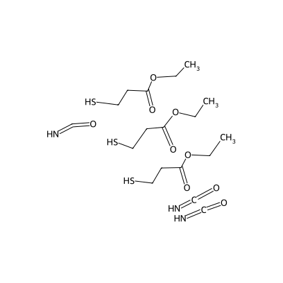 CCOC(=O)CCS.CCOC(=O)CCS.CCOC(=O)CCS.N=C=O.N=C=O.N=C=O